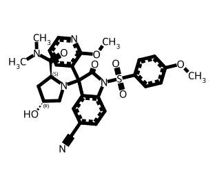 COc1ccc(S(=O)(=O)N2C(=O)C(c3cccnc3OC)(N3C[C@H](O)C[C@H]3C(=O)N(C)C)c3cc(C#N)ccc32)cc1